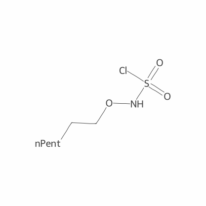 CCCCCCCONS(=O)(=O)Cl